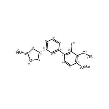 CCOc1c(OC)ccc(-c2cccc([C@@H]3COB(O)C3)n2)c1F